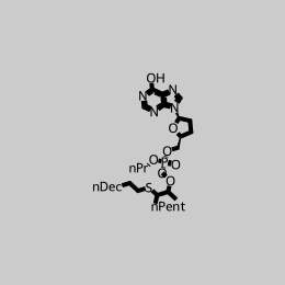 CCCCCCCCCCCCSC(CCCCC)C(C)OOP(=O)(OCCC)OC[C@@H]1CC[C@H](n2cnc3c(O)ncnc32)O1